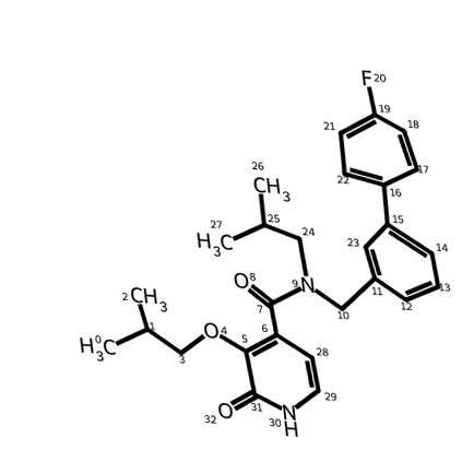 CC(C)COc1c(C(=O)N(Cc2cccc(-c3ccc(F)cc3)c2)CC(C)C)cc[nH]c1=O